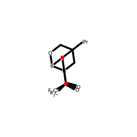 CC(C)C12COB(N(C(=O)C(F)(F)F)C1)N(C(=O)C(F)(F)F)C2